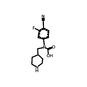 N#Cc1ccc(N(CC2CCNCC2)C(=O)O)cc1F